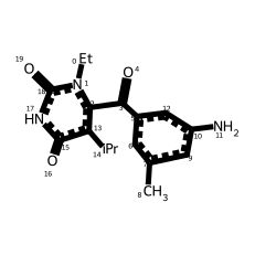 CCn1c(C(=O)c2cc(C)cc(N)c2)c(C(C)C)c(=O)[nH]c1=O